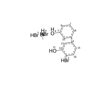 Br.Br.Br.Br.Oc1ccccc1.Oc1ccccc1